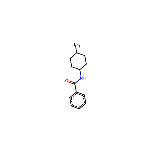 O=C(NC1CCC(C(F)(F)F)CC1)c1ccccc1